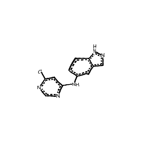 Clc1cc(Nc2ccc3[nH]ncc3c2)ncn1